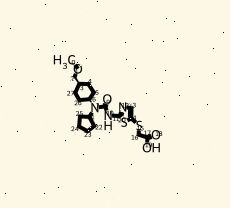 COC[C@H]1CC[C@H](N(C(=O)Nc2ncc(SCC(=O)O)s2)C2CCCC2)CC1